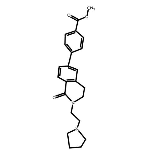 COC(=O)c1ccc(-c2ccc3c(c2)CCN(CCN2CCCC2)C3=O)cc1